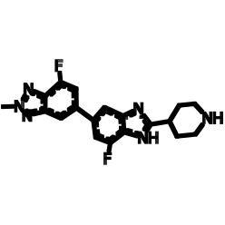 Cn1nc2cc(-c3cc(F)c4[nH]c(C5CCNCC5)nc4c3)cc(F)c2n1